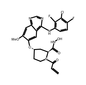 C=CC(=O)N1CC[C@H](Oc2cc3c(Nc4ccc(F)c(Cl)c4F)ncnc3cc2OC)C[C@H]1C(=O)NO